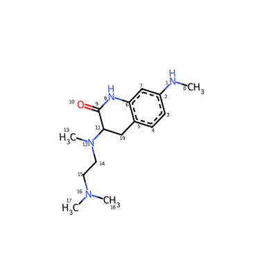 CNc1ccc2c(c1)NC(=O)C(N(C)CCN(C)C)C2